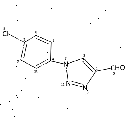 O=Cc1cn(-c2ccc(Cl)cc2)nn1